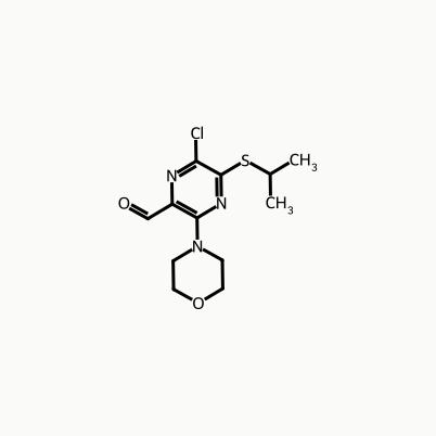 CC(C)Sc1nc(N2CCOCC2)c(C=O)nc1Cl